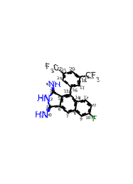 N=C1NC(=N)c2c1cc1cc(F)ccc1c2-c1cc(C(F)(F)F)cc(C(F)(F)F)c1